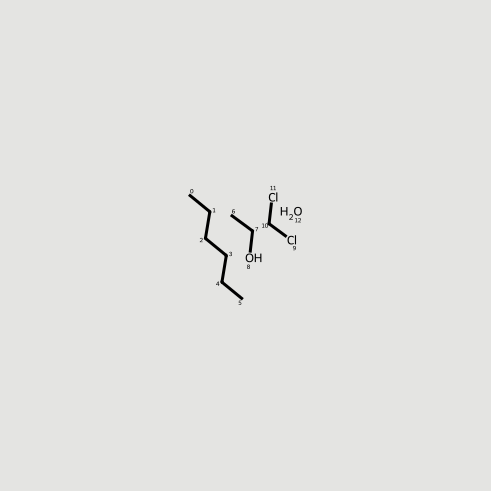 CCCCCC.CCO.ClCCl.O